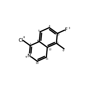 Cc1c(F)ccc2c(Cl)nccc12